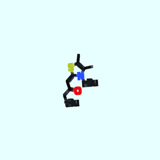 CCCCN1C(C)=C(C)S/C1=C/C(=O)CC(C)(C)C